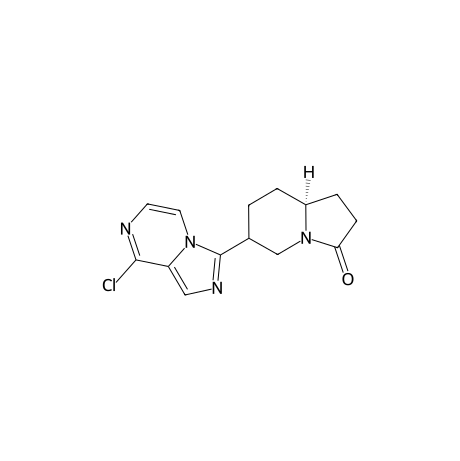 O=C1CC[C@@H]2CCC(c3ncc4c(Cl)nccn34)CN12